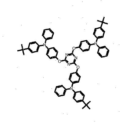 CC(C)(C)c1ccc(N(c2ccccc2)c2ccc(Oc3nc(Oc4ccc(N(c5ccccc5)c5ccc(C(C)(C)C)cc5)cc4)nc(Oc4ccc(N(c5ccccc5)c5ccc(C(C)(C)C)cc5)cc4)n3)cc2)cc1